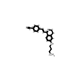 CCCCOc1ccc2c(c1)CCN=C2/C=C/c1ccc(C#N)cc1